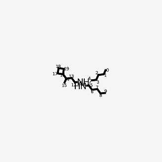 CCCCC[C@H](CCCC)NNCCC(C)C1CCC1